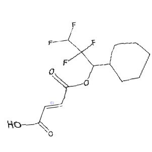 O=C(O)/C=C/C(=O)OC(C1CCCCC1)C(F)(F)C(F)F